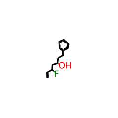 C=CC(F)CC(O)CCc1ccccc1